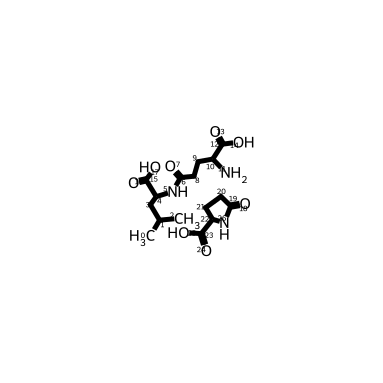 CC(C)CC(NC(=O)CCC(N)C(=O)O)C(=O)O.O=C1CCC(C(=O)O)N1